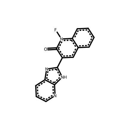 O=c1c(-c2nc3cccnc3[nH]2)cc2ccccc2n1F